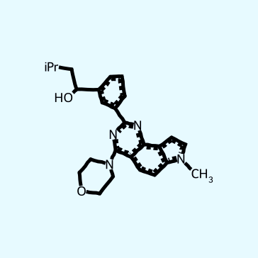 CC(C)CC(O)c1cccc(-c2nc(N3CCOCC3)c3ccc4c(ccn4C)c3n2)c1